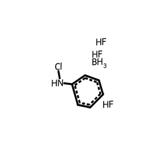 B.ClNc1ccccc1.F.F.F